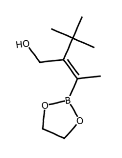 C/C(B1OCCO1)=C(/CO)C(C)(C)C